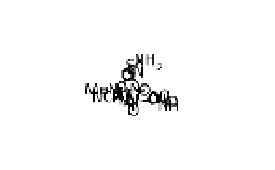 CNC(=O)N(CC#N)N1CC(=O)N2[C@@H](Cc3ccc4oc(=O)[nH]c4c3)C(=O)N(Cc3cccc4sc(N)nc34)C[C@@H]21